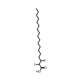 CCCCCCCCCCCCCCCC(F)C(F)C(=O)O